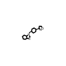 c1ccc2c(c1)ncn2Cc1ccc(-c2ccon2)cc1